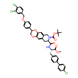 COC(=O)[C@H](Cc1ccc(-c2ccc(Cl)cc2)cc1)NC(=O)C1Cc2cc3c(cc2CN1C(=O)OC(C)(C)C)OC(c1ccc(OCc2ccc(Cl)c(Cl)c2)cc1)CO3